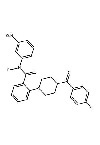 CCN(C(=O)c1ccccc1N1CCC(C(=O)c2ccc(F)cc2)CC1)c1cccc([N+](=O)[O-])c1